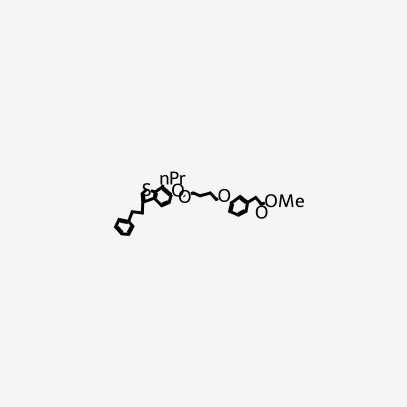 CCCc1c(OOCCCCOc2cccc(CC(=O)OC)c2)ccc2c(CCc3ccccc3)csc12